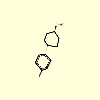 CCCCC[C@H]1CC[C@H](c2ccc(I)cc2)CC1